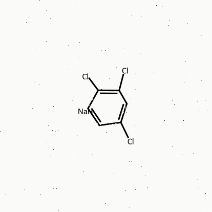 Clc1ccc(Cl)c(Cl)c1.[NaH]